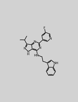 CC(C)c1n[nH]c2c(NCCc3c[nH]c4ccccc34)nc(-c3cncc(F)c3)nc12